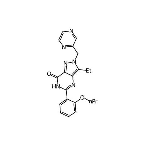 CCCOc1ccccc1-c1nc2c(CC)n(Cc3cnccn3)nc2c(=O)[nH]1